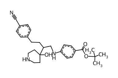 CC(C)(C)OC(=O)c1ccc(NCC(CCc2ccc(C#N)cc2)C2(O)CCNCC2)cc1